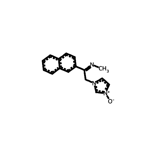 CN=C(Cn1cc[n+]([O-])c1)c1ccc2ccccc2c1